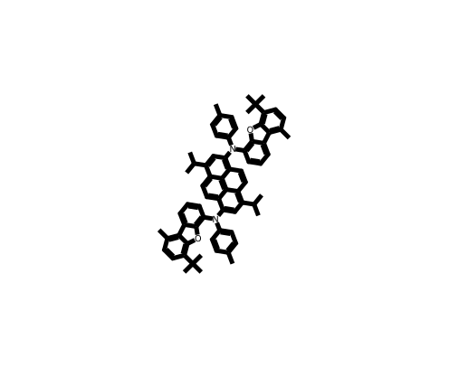 Cc1ccc(N(c2cc(C(C)C)c3ccc4c(N(c5ccc(C)cc5)c5cccc6c5oc5c(C(C)(C)C)ccc(C)c56)cc(C(C)C)c5ccc2c3c54)c2cccc3c2oc2c(C(C)(C)C)ccc(C)c23)cc1